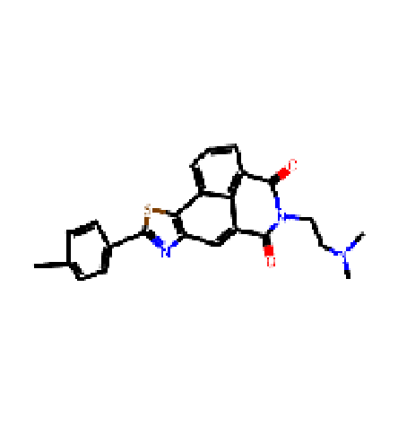 Cc1ccc(-c2nc3cc4c5c(cccc5c3s2)C(=O)N(CCN(C)C)C4=O)cc1